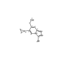 OCc1cc2nnc(Br)n2cc1C1CC1